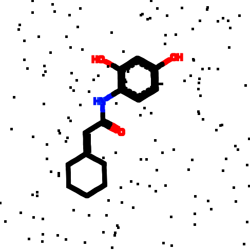 O=C(C=C1CCCCC1)Nc1ccc(O)cc1O